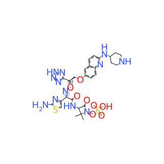 CC1(C)C(NC(=O)/C(=N\O[C@H](COc2ccc3nc(NC4CCNCC4)ccc3c2)c2nn[nH]n2)c2csc(N)n2)C(=O)N1OS(=O)(=O)O